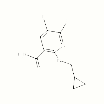 NC(=O)c1cc(F)c(Cl)nc1NCC1CC1